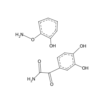 NC(=O)C(=O)c1ccc(O)c(O)c1.NOc1ccccc1O